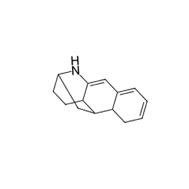 C1=CCC2C(=C1)C=C1NC3CCC1C2C3